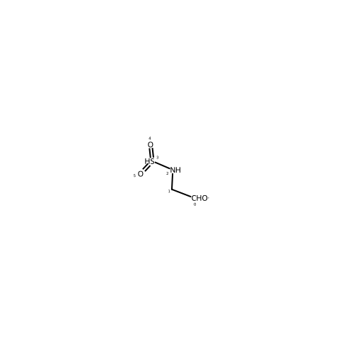 O=[C]CN[SH](=O)=O